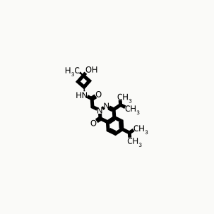 CC(C)c1ccc2c(=O)n(CC(=O)N[C@H]3C[C@@](C)(O)C3)nc(C(C)C)c2c1